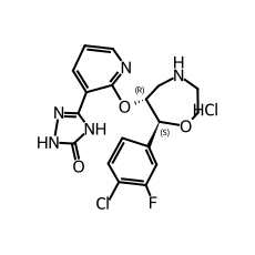 Cl.O=c1[nH]nc(-c2cccnc2O[C@@H]2CNCCO[C@H]2c2ccc(Cl)c(F)c2)[nH]1